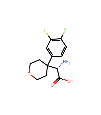 N[C@H](C(=O)O)C1(c2ccc(F)c(F)c2)CCOCC1